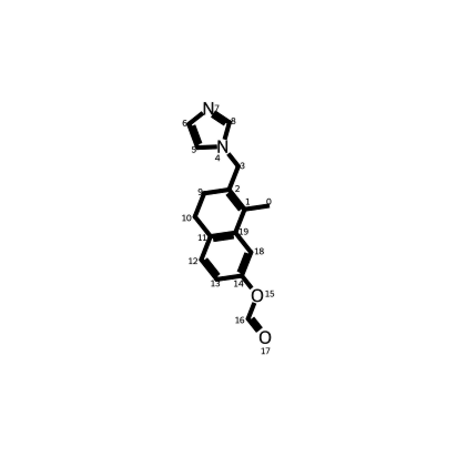 CC1=C(Cn2ccnc2)CCc2ccc(OC=O)cc21